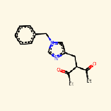 CCC(=O)C(Cc1cn(Cc2ccccc2)cn1)C(=O)CC